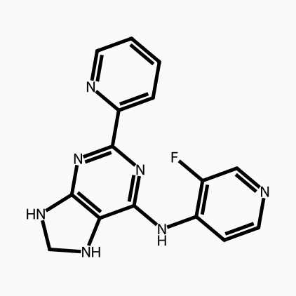 Fc1cnccc1Nc1nc(-c2ccccn2)nc2c1NCN2